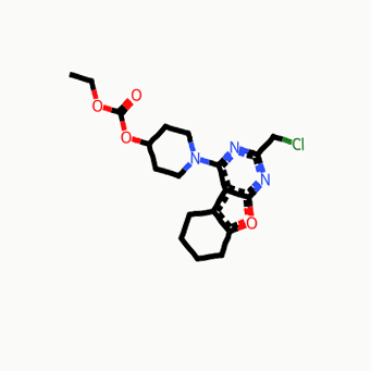 CCOC(=O)OC1CCN(c2nc(CCl)nc3oc4c(c23)CCCC4)CC1